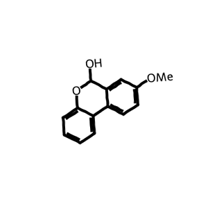 COc1ccc2c(c1)C(O)Oc1ccccc1-2